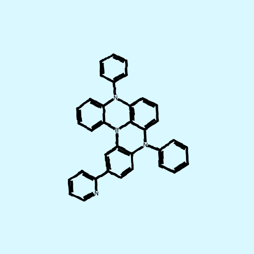 c1ccc(N2c3ccccc3B3c4cc(-c5ccccn5)ccc4N(c4ccccc4)c4cccc2c43)cc1